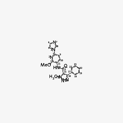 COc1nc(-n2ccnc2)ccc1NC(=O)c1c(-c2ccccc2)nnn1C